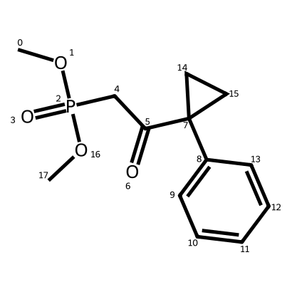 COP(=O)(CC(=O)C1(c2ccccc2)CC1)OC